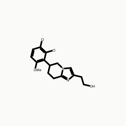 COc1ccc(Cl)c(Cl)c1C1CCc2nc(CCO)cn2C1